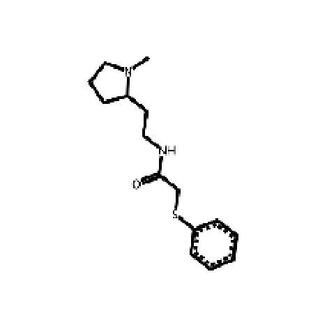 CN1CCCC1CCNC(=O)CSc1ccccc1